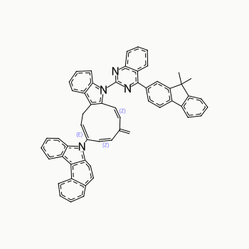 C=C1/C=C\C(n2c3ccccc3c3c4ccccc4ccc32)=C/Cc2c(n(-c3nc(-c4ccc5c(c4)C(C)(C)c4ccccc4-5)c4ccccc4n3)c3ccccc23)/C=C\1